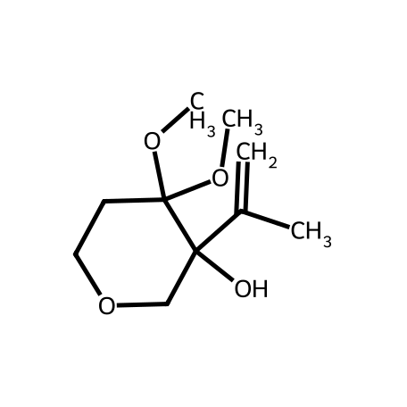 C=C(C)C1(O)COCCC1(OC)OC